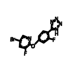 Fc1cc(Oc2ncc(Br)cc2F)ccc1-c1nnn[nH]1